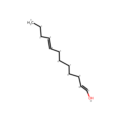 CCCC=CCCCCCC=CO